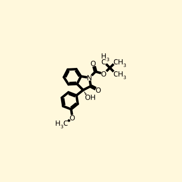 COc1cccc([C@]2(O)C(=O)N(C(=O)OC(C)(C)C)c3ccccc32)c1